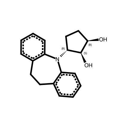 O[C@@H]1[C@H](O)CC[C@H]1N1c2ccccc2CCc2ccccc21